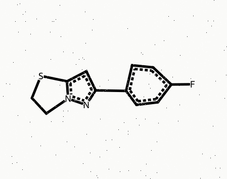 Fc1ccc(-c2cc3n(n2)CCS3)cc1